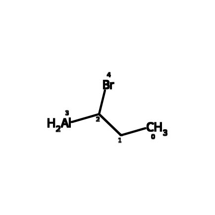 CC[CH]([AlH2])Br